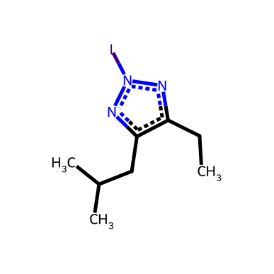 CCc1nn(I)nc1CC(C)C